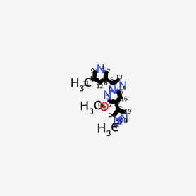 COc1nn2c(-c3cncc(C)c3)cnc2cc1-c1cnn(C)c1